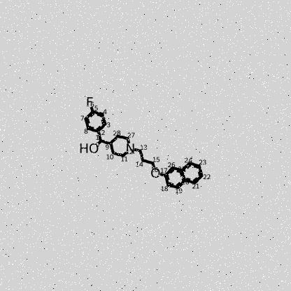 OC(c1ccc(F)cc1)C1CCN(CCCOc2ccc3ccccc3c2)CC1